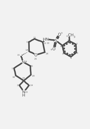 Cc1ccccc1S(=O)(=O)N[C@@H]1CC[C@@H](CN2CCC3(CC2)CNC3)OC1